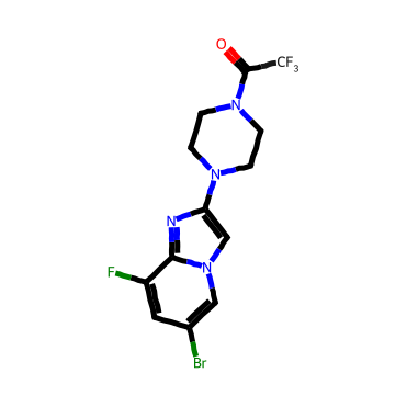 O=C(N1CCN(c2cn3cc(Br)cc(F)c3n2)CC1)C(F)(F)F